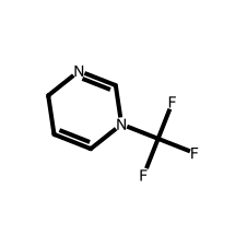 FC(F)(F)N1C=CCN=C1